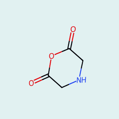 O=C1CNCC(=O)O1